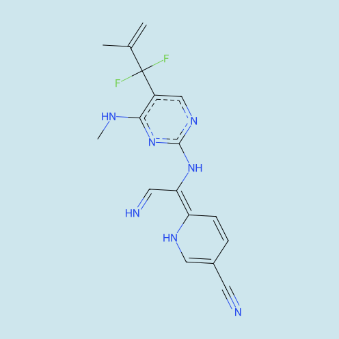 C=C(C)C(F)(F)c1cnc(N/C(C=N)=C2\C=CC(C#N)=CN2)nc1NC